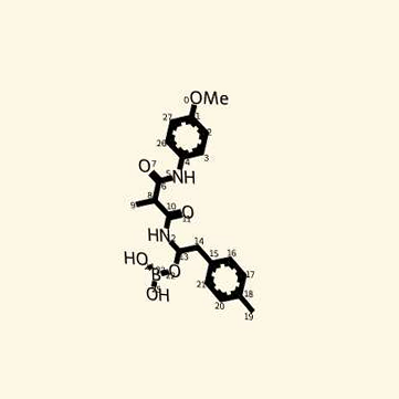 COc1ccc(NC(=O)C(C)C(=O)NC(Cc2ccc(C)cc2)OB(O)O)cc1